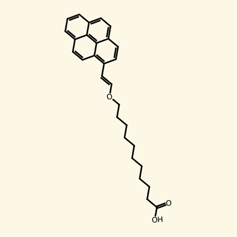 O=C(O)CCCCCCCCCCOC=Cc1ccc2ccc3cccc4ccc1c2c34